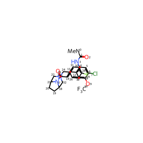 CNC(=O)Nc1cc(Cl)c(OC(F)(F)F)cc1C=CC(=O)N1C2CCC1CN(Cc1ccc(F)cc1)C2